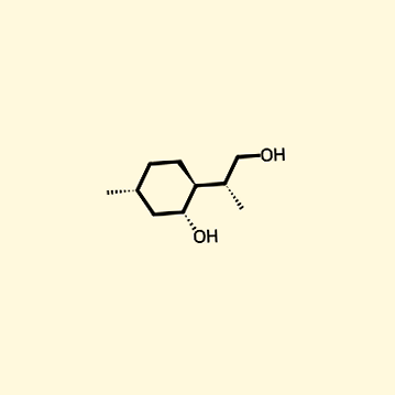 C[C@@H]1CC[C@@H]([C@@H](C)CO)[C@H](O)C1